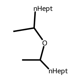 CCCCCCCC(C)OC(C)CCCCCCC